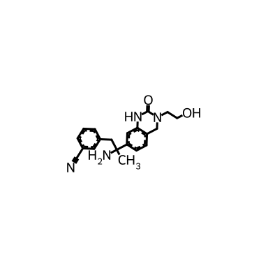 CC(N)(Cc1cccc(C#N)c1)c1ccc2c(c1)NC(=O)N(CCO)C2